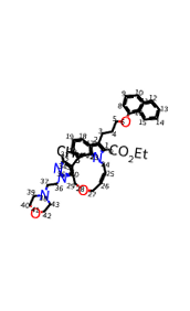 CCOC(=O)c1c(CCCOc2cccc3ccccc23)c2cccc3c2n1C/C=C\COCc1c-3c(C)nn1CCN1CCOCC1